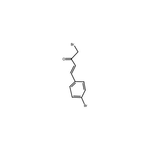 O=C(C=Cc1ccc(Br)cc1)CBr